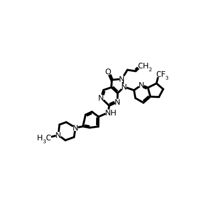 C=CCn1c(=O)c2cnc(Nc3ccc(N4CCN(C)CC4)cc3)nc2n1C1CC=C2CCC(C(F)(F)F)C2=N1